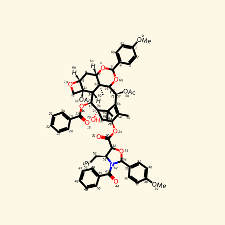 COc1ccc(C2O[C@H]3C[C@H]4OC[C@@]4(OC(C)=O)[C@H]4[C@H](OC(=O)c5ccccc5)[C@]5(O)C[C@H](OC(=O)C6OC(c7ccc(OC)cc7)N(C(=O)c7ccccc7)[C@H]6CC(C)C)C(C)=C([C@H](OC(C)=O)[C@H](O2)[C@]34C)C5(C)C)cc1